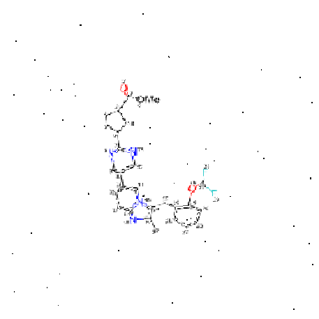 COC(=O)C1CCC(c2ncc(-c3ccc4nc(C)c(Cc5ccccc5OC(F)F)n4c3)cn2)C1